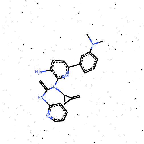 C=C1C[C@H]1N(C(=C)Nc1ccccn1)c1nc(-c2cccc(N(C)C)c2)ccc1N